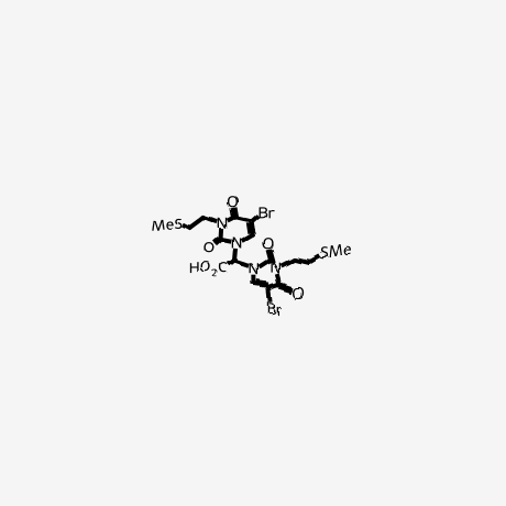 CSCCn1c(=O)c(Br)cn(C(C(=O)O)n2cc(Br)c(=O)n(CCSC)c2=O)c1=O